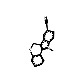 Cn1c2c(c3cc(C#N)ccc31)CSc1ccccc1-2